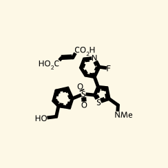 CNCc1cc(-c2cccnc2F)c(S(=O)(=O)c2cccc(CO)c2)s1.O=C(O)C=CC(=O)O